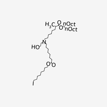 CCCCCCCCC(CCCCCCCC)OC(=O)C(C)CCCCCCN(CCO)CCCCCCCC(=O)OCCCCCCCCI